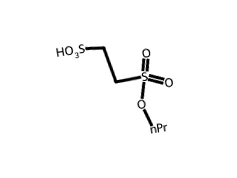 CCCOS(=O)(=O)CCS(=O)(=O)O